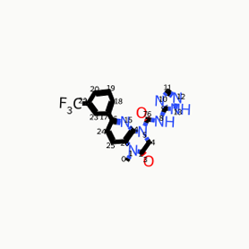 CN1C(=O)CN(C(=O)Nc2ncn[nH]2)c2nc(-c3cccc(C(F)(F)F)c3)ccc21